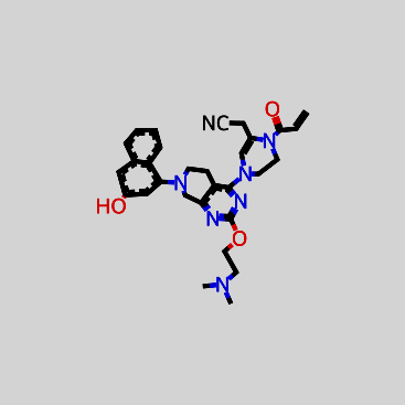 C=CC(=O)N1CCN(c2nc(OCCN(C)C)nc3c2CCN(c2cc(O)cc4ccccc24)C3)C=C1CC#N